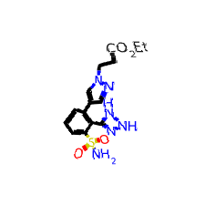 CCOC(=O)CCn1cc(-c2cccc(S(N)(=O)=O)c2-c2n[nH][nH]2)cn1